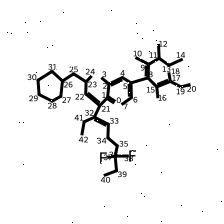 C=C(\C(C)=C/C(=C\C)C(=C(\C)C(C)CC)/C(C)=C(\C)CC)C(=C\C(C)CC1CCCCC1)/C(=C/CCC(F)(F)CC)CC